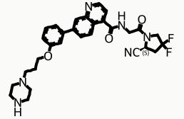 N#C[C@@H]1CC(F)(F)CN1C(=O)CNC(=O)c1ccnc2cc(-c3cccc(OCCCN4CCNCC4)c3)ccc12